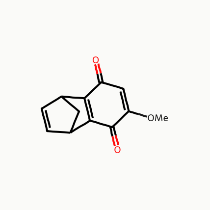 COC1=CC(=O)C2=C(C1=O)C1C=CC2C1